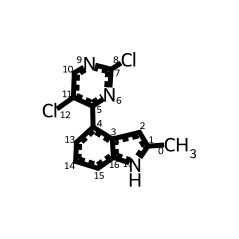 Cc1cc2c(-c3nc(Cl)ncc3Cl)cccc2[nH]1